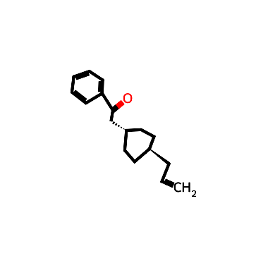 C=CC[C@H]1CC[C@H](CC(=O)c2ccccc2)CC1